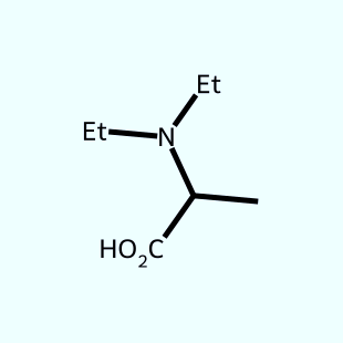 CCN(CC)C(C)C(=O)O